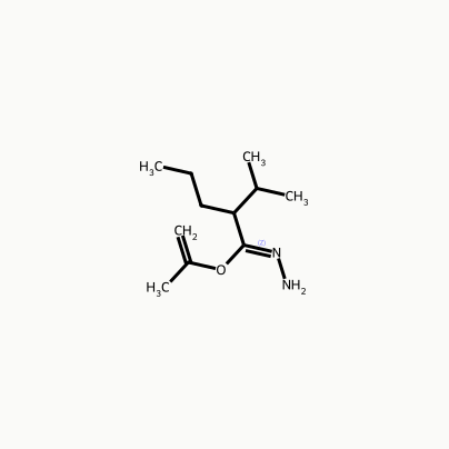 C=C(C)O/C(=N\N)C(CCC)C(C)C